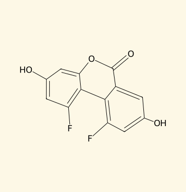 O=c1oc2cc(O)cc(F)c2c2c(F)cc(O)cc12